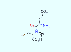 C[Se]N(C(=O)C(N)CCC(=O)O)C(CS)C(=O)O